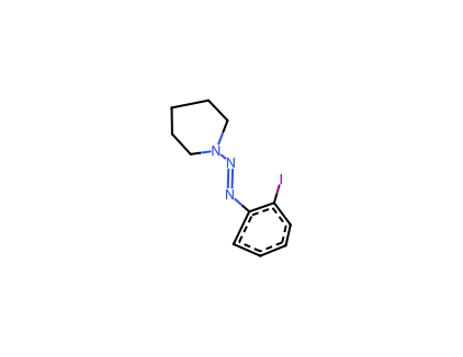 Ic1ccccc1/N=N/N1CCCCC1